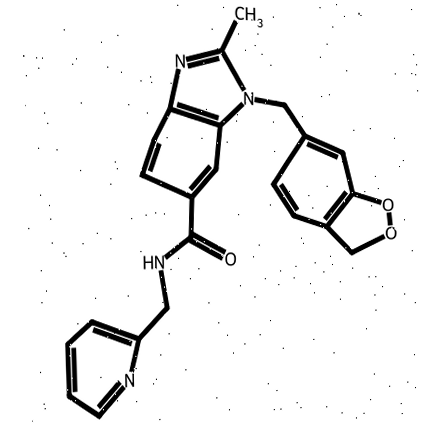 Cc1nc2ccc(C(=O)NCc3ccccn3)cc2n1Cc1ccc2c(c1)OOC2